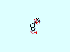 CC1(C)OB(C2=Cc3ccc(O)cc3CCC2)OC1(C)C